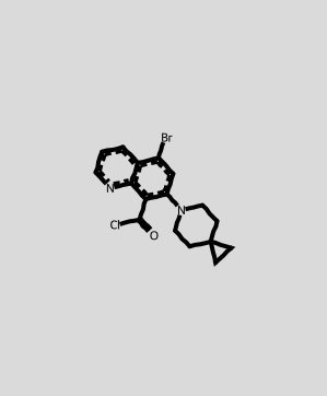 O=C(Cl)c1c(N2CCC3(CC2)CC3)cc(Br)c2cccnc12